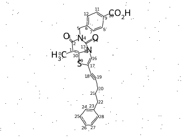 Cc1c(=O)n(Cc2ccc(C(=O)O)cc2)c(=O)n2cc(C#CCCCc3ccccc3)sc12